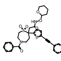 O=C(CC1(c2ccc(C#Cc3ccccc3)s2)CCN(C(=O)c2ccccc2)CCS1(=O)=O)NOC1CCCCO1